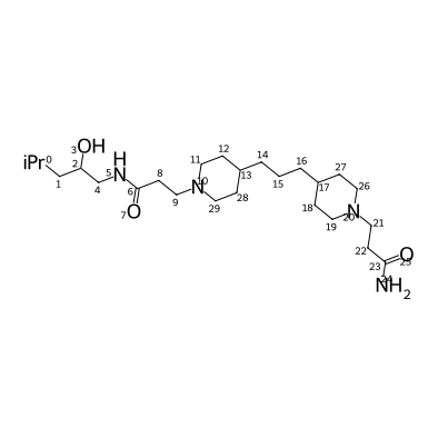 CC(C)CC(O)CNC(=O)CCN1CCC(CCCC2CCN(CCC(N)=O)CC2)CC1